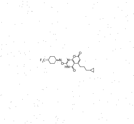 O=c1cc(CCCC2CC2)c2c(=O)[nH]c(ON=C3CCC(C(F)(F)F)CC3)nc2o1